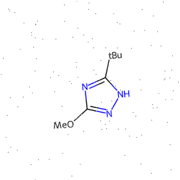 COc1n[nH]c(C(C)(C)C)n1